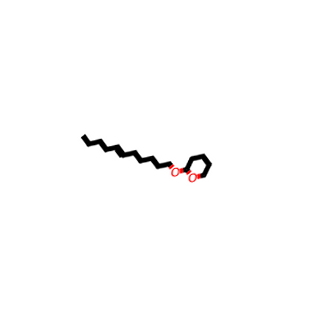 CCCCC=CCCCCCOC1CCCCO1